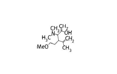 C=C(C)C(CCOC)C(C(=C)O)N(C)C